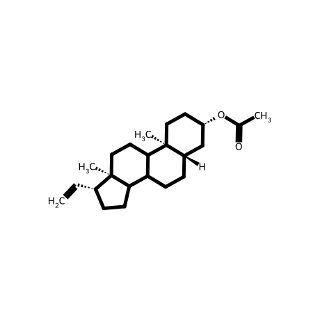 C=C[C@H]1CCC2C3CC[C@H]4C[C@@H](OC(C)=O)CC[C@]4(C)C3CC[C@@]21C